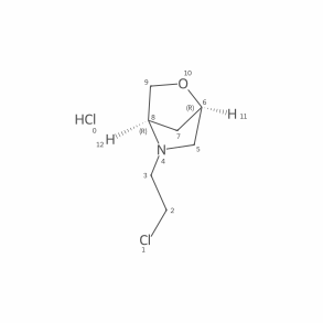 Cl.ClCCN1C[C@H]2C[C@@H]1CO2